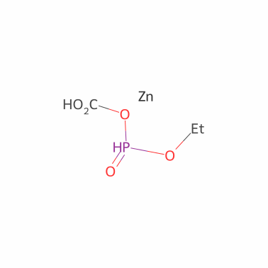 CCO[PH](=O)OC(=O)O.[Zn]